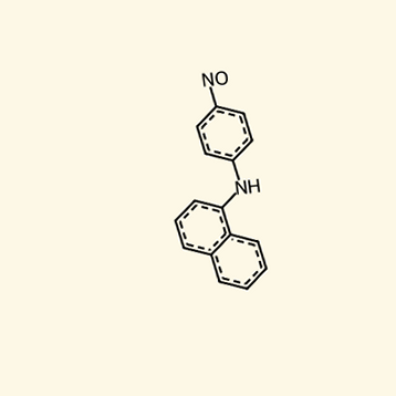 O=Nc1ccc(Nc2cccc3ccccc23)cc1